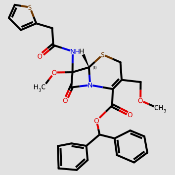 COCC1=C(C(=O)OC(c2ccccc2)c2ccccc2)N2C(=O)C(NC(=O)Cc3cccs3)(OC)[C@@H]2SC1